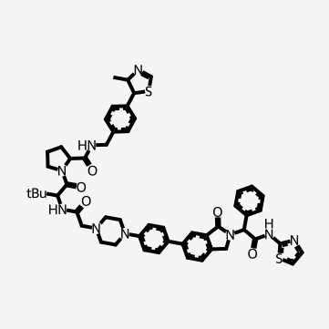 CC1N=CSC1c1ccc(CNC(=O)C2CCCN2C(=O)C(NC(=O)CN2CCN(c3ccc(-c4ccc5c(c4)C(=O)N(C(C(=O)Nc4nccs4)c4ccccc4)C5)cc3)CC2)C(C)(C)C)cc1